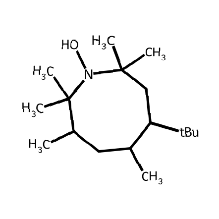 CC1CC(C)C(C)(C)N(O)C(C)(C)CC1C(C)(C)C